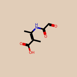 CC(NC(=O)C=O)=C(C)C(=O)O